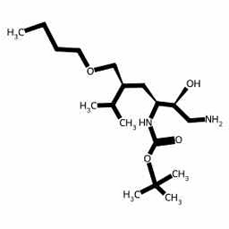 CCCCOC[C@@H](C[C@H](NC(=O)OC(C)(C)C)[C@@H](O)CN)C(C)C